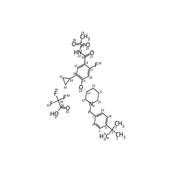 CC(C)(C)c1ccc(CN2CCC[C@@H](Oc3cc(F)c(C(=O)NS(C)(=O)=O)cc3C3CC3)C2)cc1.O=C(O)C(F)(F)F